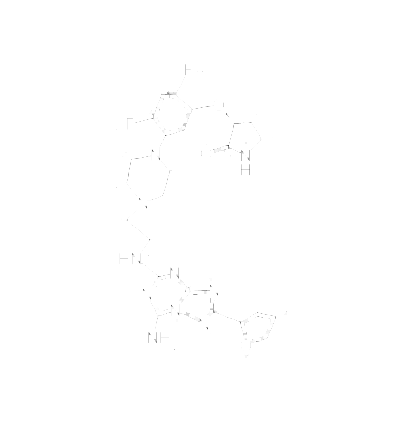 Nc1nc(NCCN2CCN(c3cc(O[C@H]4CCNC4=O)c(F)cc3F)CC2)nc2nc(-c3ccco3)nn12